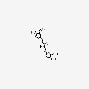 CCOc1cc(C=CC(=O)NCCc2ccc(O)c(O)c2)ccc1O